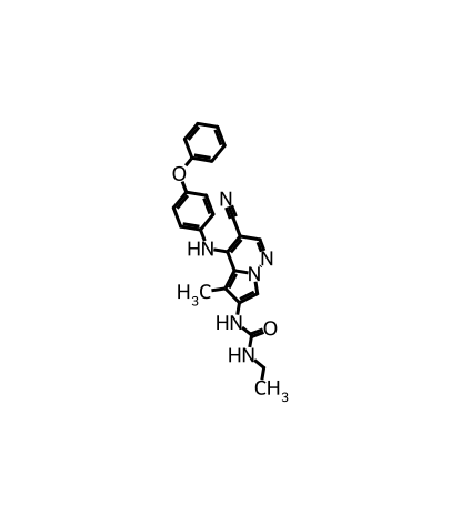 CCNC(=O)Nc1cn2ncc(C#N)c(Nc3ccc(Oc4ccccc4)cc3)c2c1C